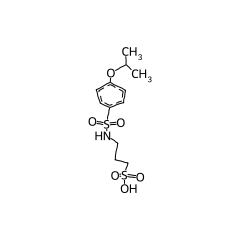 CC(C)Oc1ccc(S(=O)(=O)NCCCS(=O)(=O)O)cc1